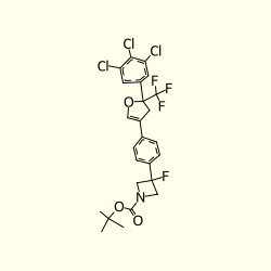 CC(C)(C)OC(=O)N1CC(F)(c2ccc(C3=COC(c4cc(Cl)c(Cl)c(Cl)c4)(C(F)(F)F)C3)cc2)C1